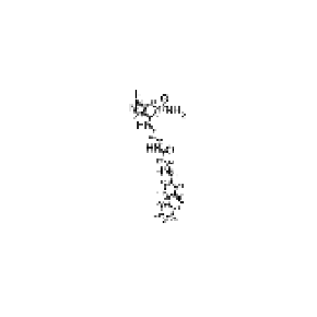 NC(=O)c1cc(NCCCNC(=O)CCNCc2ccc(-c3ccccc3)c(Cl)c2)c2cn[nH]c2c1